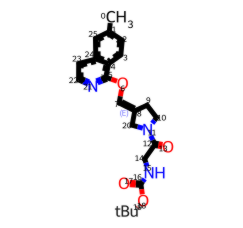 Cc1ccc2c(O/C=C3\CCN(C(=O)CNC(=O)OC(C)(C)C)C3)nccc2c1